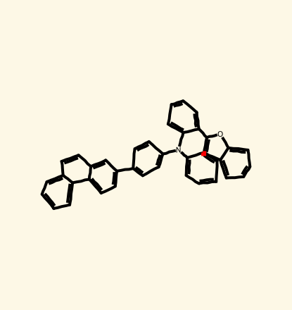 c1ccc(N(c2ccc(-c3ccc4c(ccc5ccccc54)c3)cc2)c2ccccc2-c2cc3ccccc3o2)cc1